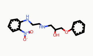 O=[N+]([O-])c1ccccc1NCCNCC(O)COc1ccccc1